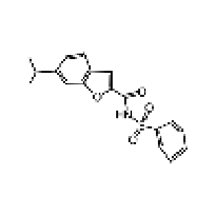 CC(C)c1ccc2cc(C(=O)NS(=O)(=O)c3ccccc3)oc2c1